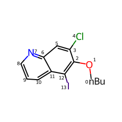 CCCCOc1c(Cl)cc2ncccc2c1I